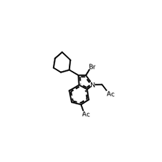 CC(=O)Cn1c(Br)c(C2CCCCC2)c2ccc(C(C)=O)cc21